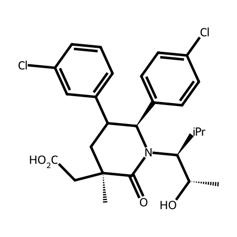 CC(C)[C@@H]([C@H](C)O)N1C(=O)[C@@](C)(CC(=O)O)CC(c2cccc(Cl)c2)[C@H]1c1ccc(Cl)cc1